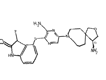 Nc1nc(N2CCC3(CC2)COC[C@H]3N)cnc1Sc1cccc2c1C(F)C(=O)N2